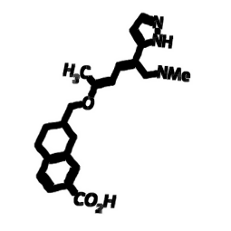 CNC/C(=C\C=C(/C)OCC1CCc2ccc(C(=O)O)cc2C1)c1ccn[nH]1